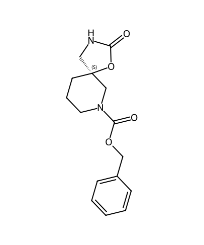 O=C1NC[C@]2(CCCN(C(=O)OCc3ccccc3)C2)O1